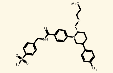 CCS(=O)(=O)c1ccc(CNC(=O)c2ccc(N3CC(c4ccc(C(F)(F)F)cc4)CC[C@H]3COCCOC)cc2)cc1